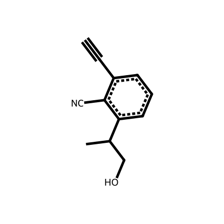 C#Cc1cccc([C](C)CO)c1C#N